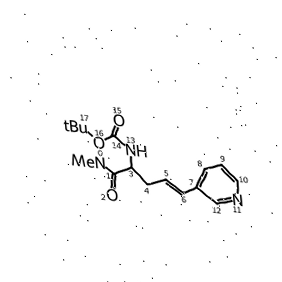 CNC(=O)C(CC=Cc1cccnc1)NC(=O)OC(C)(C)C